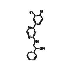 OC(CNc1cc(-c2ccc(Cl)c(Cl)c2)ncn1)c1ccccc1